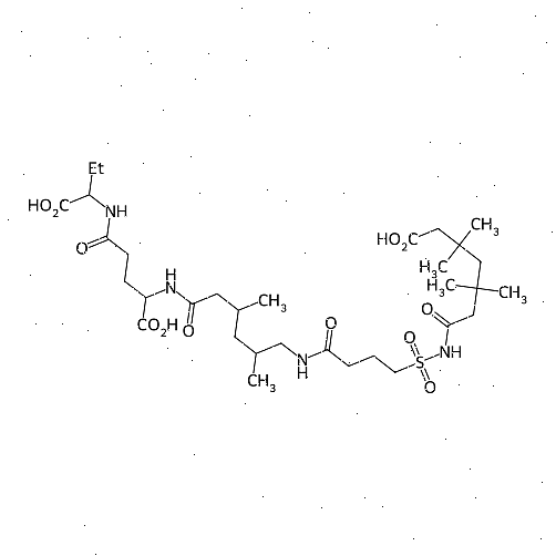 CCC(NC(=O)CCC(NC(=O)CC(C)CC(C)CNC(=O)CCCS(=O)(=O)NC(=O)CC(C)(C)CC(C)(C)CC(=O)O)C(=O)O)C(=O)O